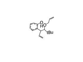 C=CCOC(C(C=C)c1ccccc1O)C(C)(C)C